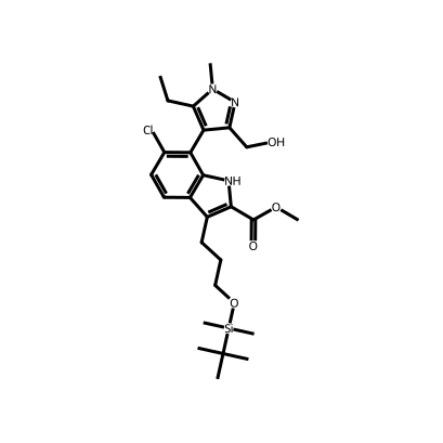 CCc1c(-c2c(Cl)ccc3c(CCCO[Si](C)(C)C(C)(C)C)c(C(=O)OC)[nH]c23)c(CO)nn1C